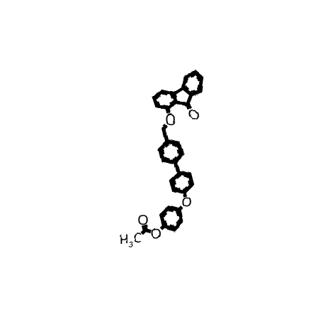 CC(=O)Oc1ccc(Oc2ccc(-c3ccc(COc4cccc5c4C(=O)c4ccccc4-5)cc3)cc2)cc1